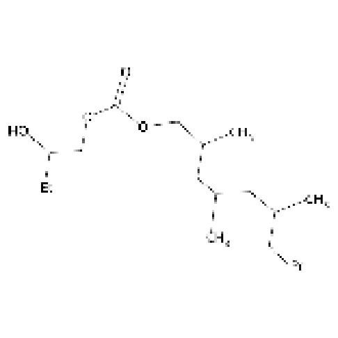 CCC(O)COC(=O)OCC(C)CC(C)CC(C)CC(C)C